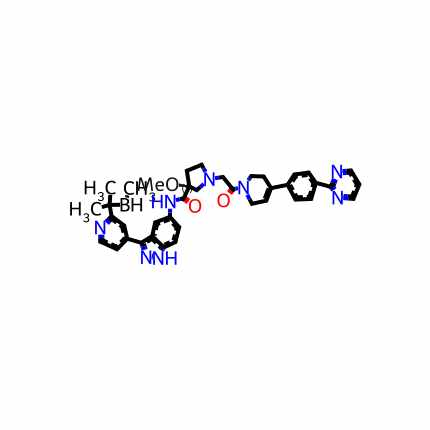 CBC(C)(C)c1cc(-c2n[nH]c3ccc(NC(=O)[C@]4(OC)CCN(CC(=O)N5CC=C(c6ccc(-c7ncccn7)cc6)CC5)C4)cc23)ccn1